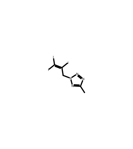 Cc1nnn(CC(I)=C(I)I)n1